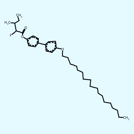 CCCCCCCCCCCCCCCCCCOc1ccc(-c2ccc(OC(=O)C(F)C(C)CC)cc2)cc1